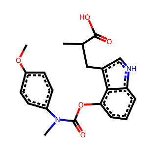 COc1ccc(N(C)C(=O)Oc2cccc3[nH]cc(CC(C)C(=O)O)c23)cc1